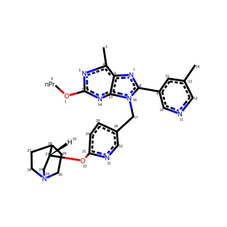 CCCOc1nc(C)c2nc(-c3cncc(C)c3)n(Cc3ccc(O[C@@H]4CN5CCC4CC5)nc3)c2n1